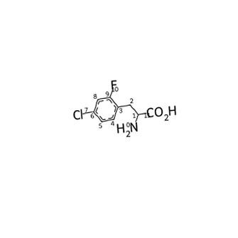 NC(Cc1ccc(Cl)cc1F)C(=O)O